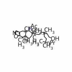 CCCC(C)(C)CC[C@](C)(CCO)CCC(C)(C)[C@]1(C)CC[C@H]2C(C)(C)c3oncc3C[C@]2(C)/C1=C/C(C)=O